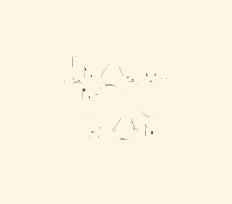 CCN(C(=O)N1CCC(C(=O)c2ccc3c(ccn3C)c2)CC1)c1ccc(OC)cc1